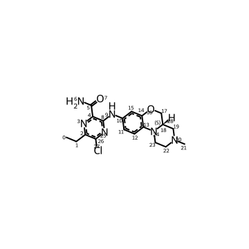 CCc1nc(C(N)=O)c(Nc2ccc3c(c2)OC[C@@H]2CN(C)CCN32)nc1Cl